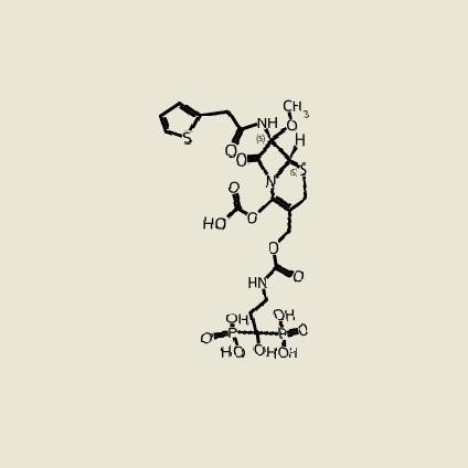 CO[C@@]1(NC(=O)Cc2cccs2)C(=O)N2C(OC(=O)O)=C(COC(=O)NCCC(O)(P(=O)(O)O)P(=O)(O)O)CS[C@H]21